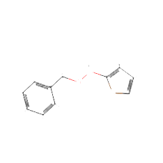 c1ccc(COOc2cccs2)cc1